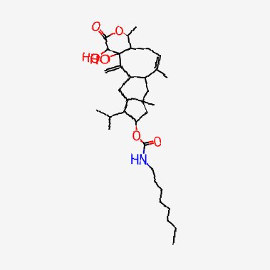 C=C1C2CC3C(C(C)C)C(OC(=O)NCCCCCCCC)CC3(C)CC2C(C)=CCC2C(C)OC(=O)C(O)C12O